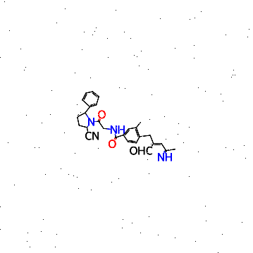 CC(=N)/C=C(\C=O)Cc1ccc(C(=O)NCC(=O)N2C(C#N)CCC2c2ccccc2)cc1C